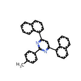 Cc1ccc(-c2nc(-c3cccc4ccccc34)cc(-c3cccc4ccccc34)n2)cc1